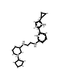 c1cc(NCCNC2CCCN(C3CCCC3)C2)nc(-c2ncc(C3CC3)[nH]2)c1